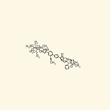 C=CCCN(Cc1ncc(-c2ccc(-c3ccc(-c4cnc([C@H](C)N(CCC)C(=O)[C@@H](NC(=O)OC)C(C)C)[nH]4)cc3C#CC)cc2)[nH]1)C(=O)[C@H](NC(=O)OC)c1ccccc1